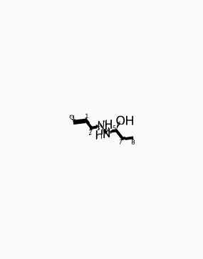 C=CCNN[C@@H](O)CC